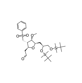 CO[C@@H]1[C@@H](CS(=O)(=O)c2ccccc2)[C@H](CC=O)O[C@@H]1C[C@@H](CO[Si](C)(C)C(C)(C)C)O[Si](C)(C)C(C)(C)C